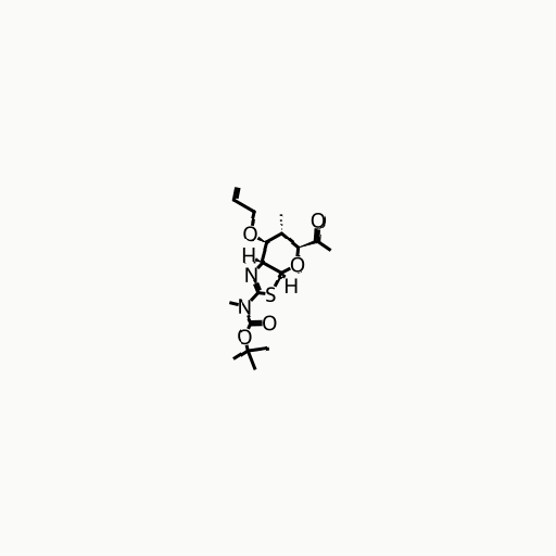 C=CCO[C@H]1[C@H](C)[C@@H](C(C)=O)O[C@@H]2SC(N(C)C(=O)OC(C)(C)C)=N[C@H]12